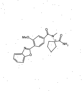 COc1cc(C(=O)N(C)[C@]2(C(N)=O)C[CH]CC2)ccc1-c1nc2ccccc2o1